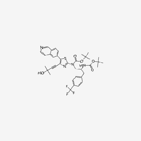 CC(C)(O)C#Cc1nc(N(CC(Cc2ccc(C(F)(F)F)cc2)NC(=O)OC(C)(C)C)C(=O)OC(C)(C)C)sc1-c1ccc2cnccc2c1